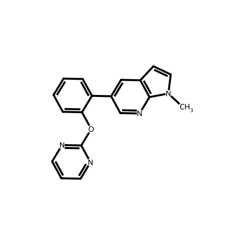 Cn1ccc2cc(-c3ccccc3Oc3ncccn3)cnc21